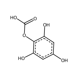 O=C(O)Oc1c(O)cc(O)cc1O